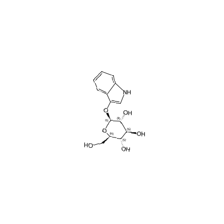 OC[C@H]1O[C@@H](Oc2c[nH]c3ccccc23)[C@H](O)[C@@H](O)[C@@H]1O